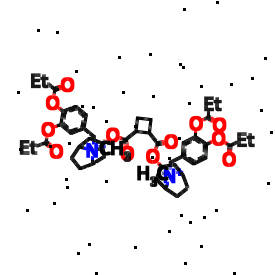 CCC(=O)Oc1ccc(C[N+]2(C)C3CCC2CC(OC(=O)C2CCC2C(=O)O[C@H]2CC4CCC(C2)[N@@+]4(C)Cc2ccc(OC(=O)CC)c(OC(=O)CC)c2)C3)cc1OC(=O)CC